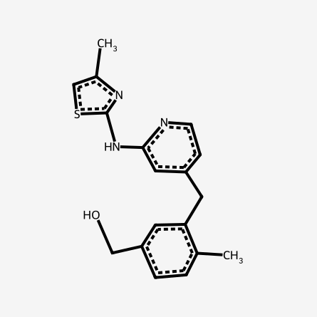 Cc1csc(Nc2cc(Cc3cc(CO)ccc3C)ccn2)n1